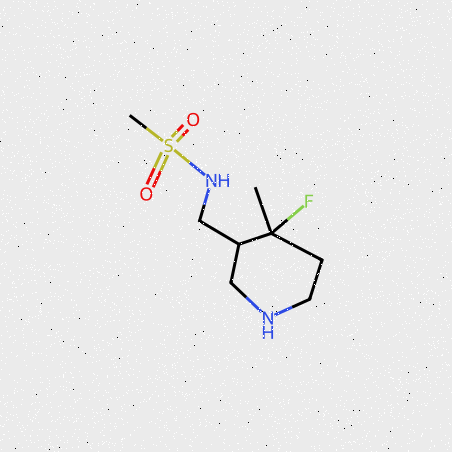 CC1(F)CCNCC1CNS(C)(=O)=O